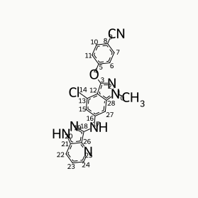 Cn1nc(Oc2ccc(C#N)cc2)c2c(Cl)cc(Nc3n[nH]c4cccnc34)cc21